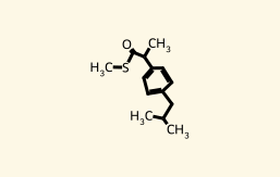 CSC(=O)C(C)c1ccc(CC(C)C)cc1